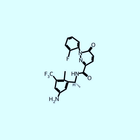 Cc1c([C@@H](C)NC(=O)c2ccc(=O)n(-c3ccccc3F)n2)cc(N)cc1C(F)(F)F